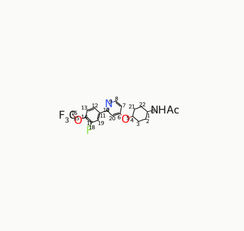 CC(=O)NC1CCC(Oc2ccnc(-c3ccc(OC(F)(F)F)c(F)c3)c2)CC1